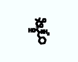 CC1(C)C[C@@H](C(O)C(N)CC2CCCCC2)OC1=O